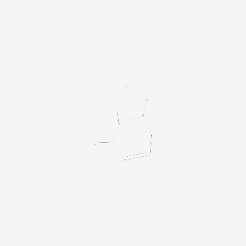 CC1COc2c(N)cccc21